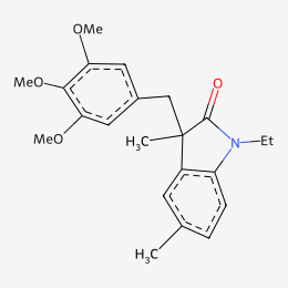 CCN1C(=O)C(C)(Cc2cc(OC)c(OC)c(OC)c2)c2cc(C)ccc21